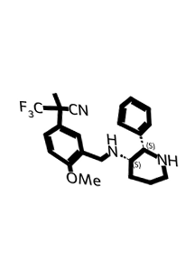 COc1ccc(C(C)(C#N)C(F)(F)F)cc1CN[C@H]1CCCN[C@H]1c1ccccc1